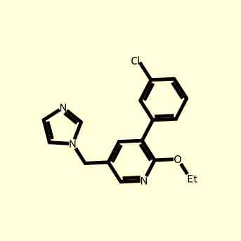 CCOc1ncc(Cn2ccnc2)cc1-c1cccc(Cl)c1